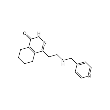 O=c1[nH]nc(CCNCc2ccncc2)c2c1CCCC2